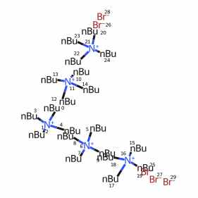 CCCC[N+](CCCC)(CCCC)CCCC.CCCC[N+](CCCC)(CCCC)CCCC.CCCC[N+](CCCC)(CCCC)CCCC.CCCC[N+](CCCC)(CCCC)CCCC.CCCC[N+](CCCC)(CCCC)CCCC.[Br-].[Br-].[Br-].[Br-].[Br-]